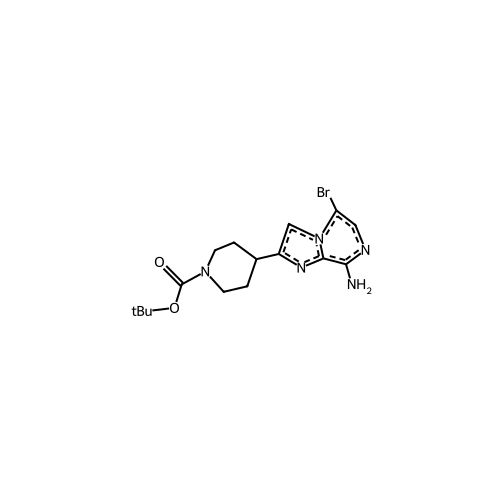 CC(C)(C)OC(=O)N1CCC(c2cn3c(Br)cnc(N)c3n2)CC1